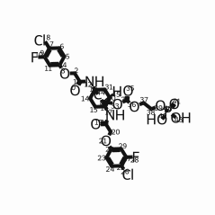 O=C(COc1ccc(Cl)c(F)c1)NC12CCC(NC(=O)COc3ccc(Cl)c(F)c3)(CC1)[C@@H](OC(=O)OCCOP(=O)(O)O)C2